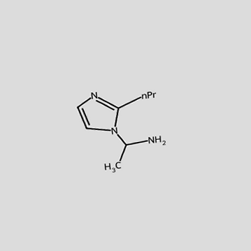 CCCc1nccn1C(C)N